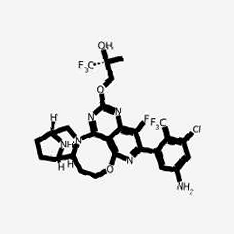 C[C@](O)(COc1nc2c3c(nc(-c4cc(N)cc(Cl)c4C(F)(F)F)c(F)c3n1)OCC[C@@H]1[C@@H]3CC[C@H](CN21)N3)C(F)(F)F